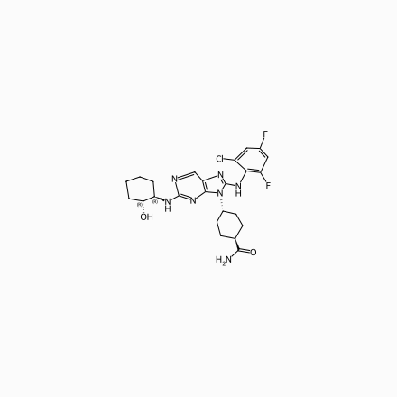 NC(=O)[C@H]1CC[C@H](n2c(Nc3c(F)cc(F)cc3Cl)nc3cnc(N[C@@H]4CCCC[C@H]4O)nc32)CC1